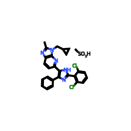 CS(=O)(=O)O.Cc1nc2ccc(-c3[nH]c(-c4c(Cl)cccc4Cl)nc3-c3ccccc3)nc2n1CC1CC1